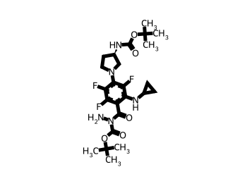 CC(C)(C)OC(=O)N[C@H]1CCN(c2c(F)c(F)c(C(=O)N(N)C(=O)OC(C)(C)C)c(NC3CC3)c2F)C1